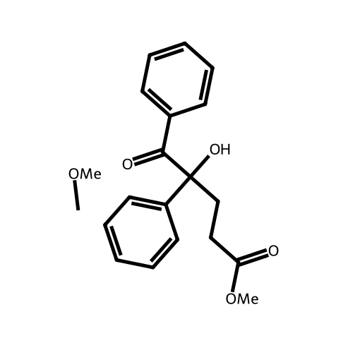 COC.COC(=O)CCC(O)(C(=O)c1ccccc1)c1ccccc1